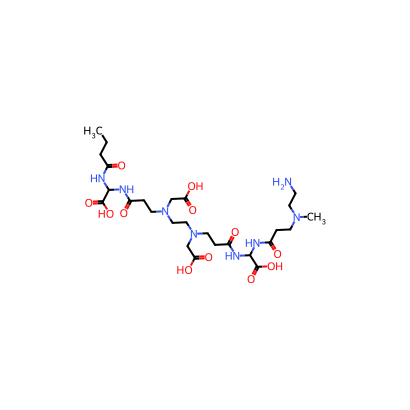 CCCC(=O)NC(NC(=O)CCN(CCN(CCC(=O)NC(NC(=O)CCN(C)CCN)C(=O)O)CC(=O)O)CC(=O)O)C(=O)O